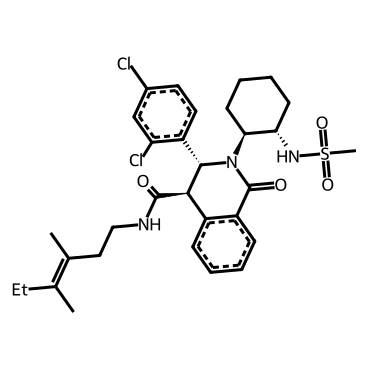 CC/C(C)=C(\C)CCNC(=O)[C@@H]1c2ccccc2C(=O)N([C@H]2CCCC[C@@H]2NS(C)(=O)=O)[C@H]1c1ccc(Cl)cc1Cl